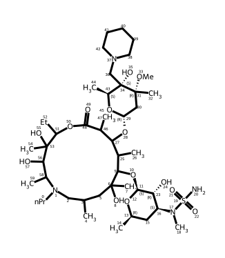 CCCN1CC(C)CC(C)(O)C(O[C@@H]2O[C@H](C)C[C@H](N(C)S(N)(=O)=O)[C@H]2O)C(C)C(O[C@H]2C[C@@](C)(OC)[C@](O)(CN3CCCCC3)[C@H](C)O2)C(C)C(=O)OC(CC)C(C)(O)C(O)C1C